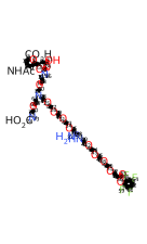 CC(=O)NC1CC=C(C(=O)O)O[C@H]1[C@@H](CCO)OC(=O)N(C)CCOCCN(CCOCCOCCOCCOC/C(N)=C/NCCOCCOCCOCCOCCC(=O)Oc1c(F)c(F)cc(F)c1F)CCOCCN(C)C(=O)O